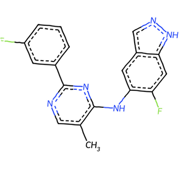 Cc1cnc(-c2cccc(F)c2)nc1Nc1cc2cn[nH]c2cc1F